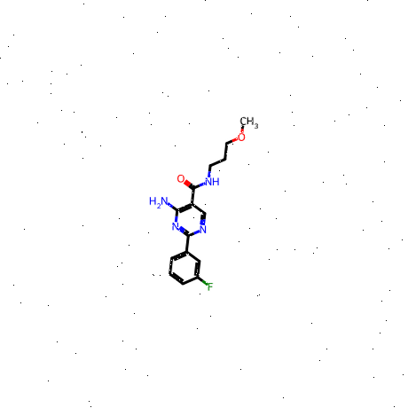 COCCCNC(=O)c1cnc(-c2cccc(F)c2)nc1N